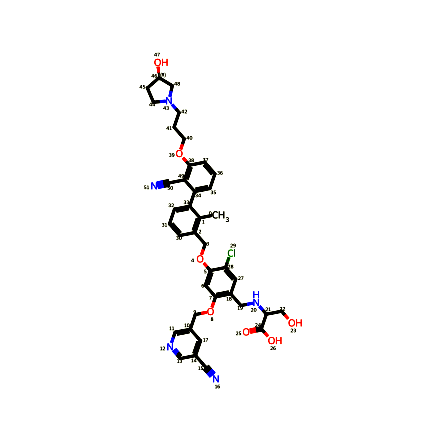 Cc1c(COc2cc(OCc3cncc(C#N)c3)c(CNC(CO)C(=O)O)cc2Cl)cccc1-c1cccc(OCCCN2CC[C@@H](O)C2)c1C#N